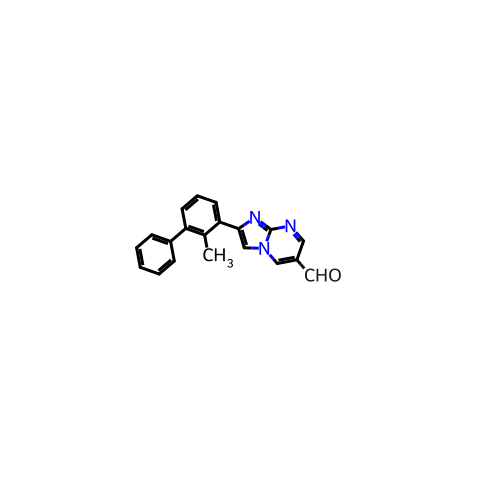 Cc1c(-c2ccccc2)cccc1-c1cn2cc(C=O)cnc2n1